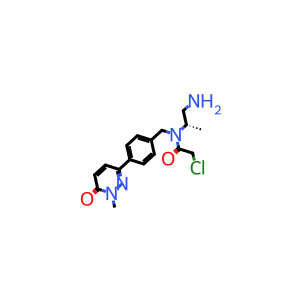 C[C@@H](CN)N(Cc1ccc(-c2ccc(=O)n(C)n2)cc1)C(=O)CCl